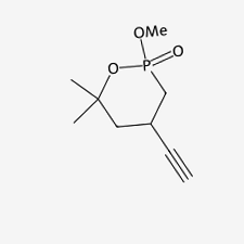 C#CC1CC(C)(C)OP(=O)(OC)C1